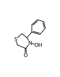 O=C1CSCC(c2ccccc2)N1O